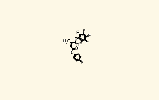 C=C(CC(=O)Oc1ccc(F)cc1)C(=O)Oc1c(F)c(F)c(F)c(F)c1F